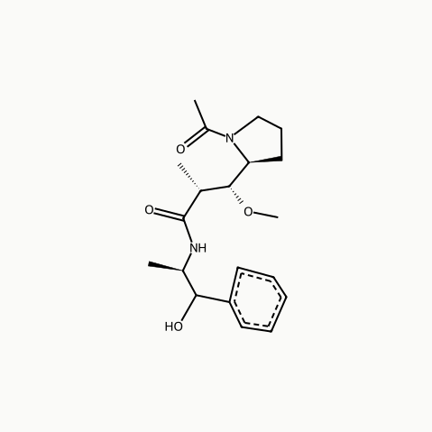 CO[C@H]([C@@H](C)C(=O)N[C@H](C)C(O)c1ccccc1)[C@@H]1CCCN1C(C)=O